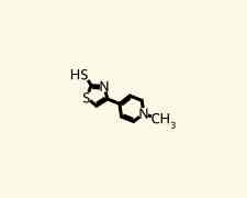 CN1C=CC(c2csc(S)n2)=CC1